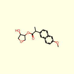 COc1ccc2cc(C(C)C(=O)OC3COCC3O)ccc2c1